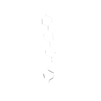 CCCCCC1CCC(C2CCC(C3CCC(COc4ccc(OCC)c(F)c4F)CO3)CC2)CC1